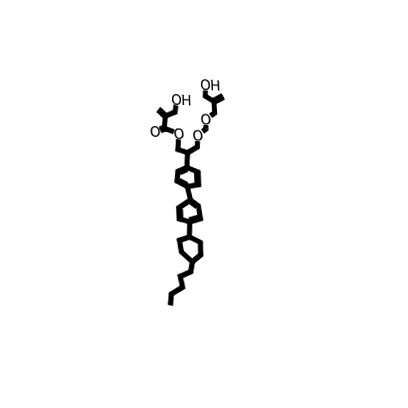 C=C(CO)COCOCC(COC(=O)C(=C)CO)c1ccc(-c2ccc(C3CCC(CCCCC)CC3)cc2)cc1